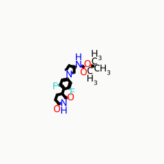 CC(C)(C)OC(=O)N[C@@H]1CCN(c2cc(F)c(C3CCC(=O)NC3=O)c(F)c2)C1